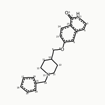 O=c1[nH]ccc2cc(OCC3CCN(Cc4ccccc4)CC3)ccc12